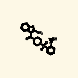 Nc1sc2ccccc2c1C(=O)N1CCN(S(=O)(=O)c2ccccc2[C@H]2CN2)CC1